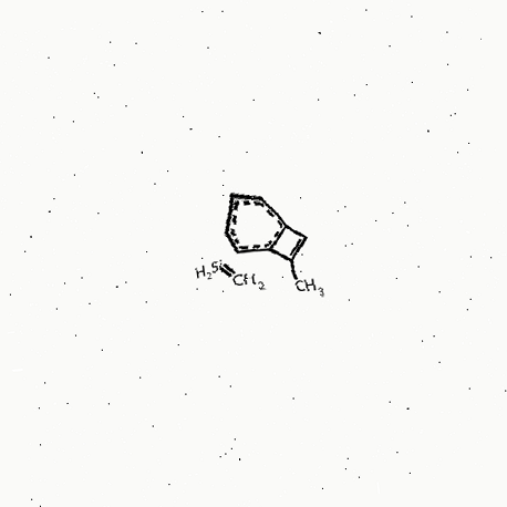 C=[SiH2].CC1=Cc2ccccc21